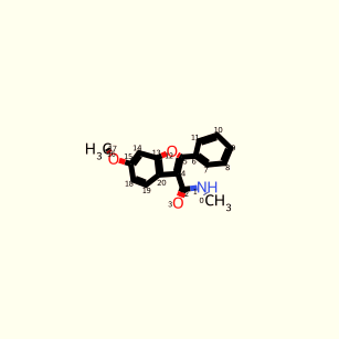 CNC(=O)c1c(-c2ccccc2)oc2cc(OC)ccc12